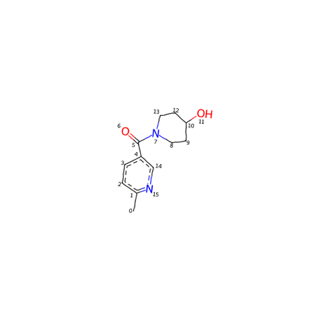 Cc1ccc(C(=O)N2CCC(O)CC2)cn1